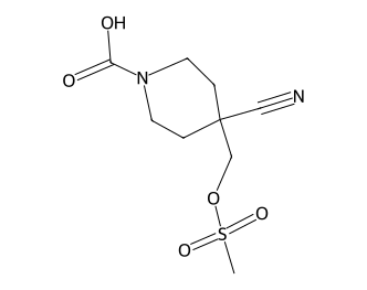 CS(=O)(=O)OCC1(C#N)CCN(C(=O)O)CC1